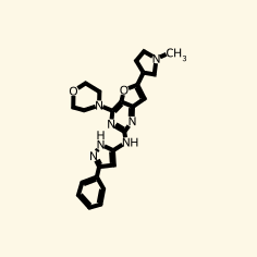 CN1CCC(c2cc3nc(Nc4cc(-c5ccccc5)n[nH]4)nc(N4CCOCC4)c3o2)C1